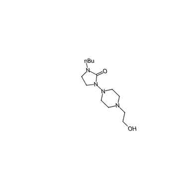 CCCCN1CCN(N2CCN(CCO)CC2)C1=O